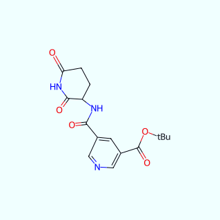 CC(C)(C)OC(=O)c1cncc(C(=O)NC2CCC(=O)NC2=O)c1